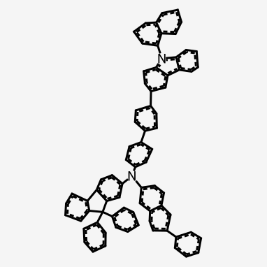 c1ccc(-c2ccc3cc(N(c4ccc(-c5ccc(-c6ccc7c(c6)c6ccccc6n7-c6cccc7ccccc67)cc5)cc4)c4ccc5c(c4)C(c4ccccc4)(c4ccccc4)c4ccccc4-5)ccc3c2)cc1